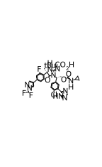 CC(C)(C)C[C@]1(c2ccc(-c3cnn(C(F)F)c3)cc2F)N/C(=N\C(=O)O)N([C@H](COC(=O)NC2CC2)c2ccc(Cl)c(-c3ncn[nH]3)c2)C1=O